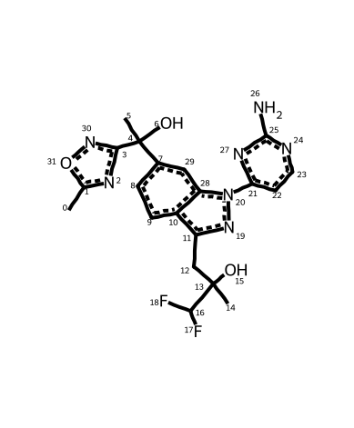 Cc1nc(C(C)(O)c2ccc3c(CC(C)(O)C(F)F)nn(-c4ccnc(N)n4)c3c2)no1